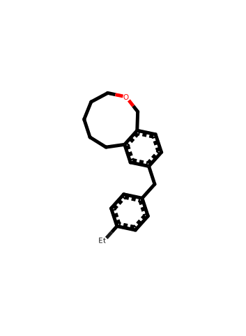 CCc1ccc(Cc2ccc3c(c2)CCCCCOC3)cc1